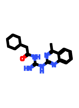 Cc1nc(NC(=N)NC(=O)CC2CCCCC2)nc2ccccc12